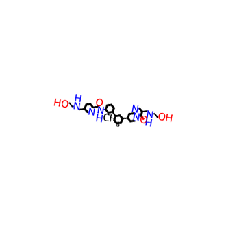 Cc1c(NC(=O)c2ccc(CNCCO)cn2)cccc1-c1cccc(-c2ccn3c(=O)c(CNCCO)cnc3c2)c1